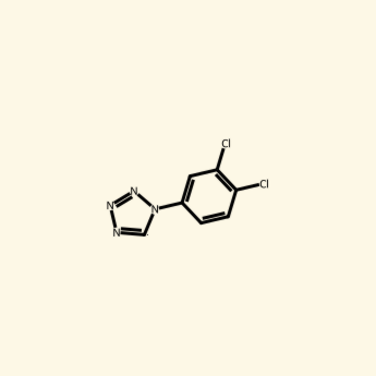 Clc1ccc(-n2[c]nnn2)cc1Cl